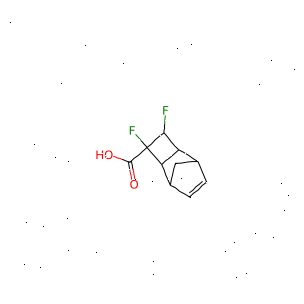 O=C(O)C1(F)C(F)C2C3C=CC(C3)C21